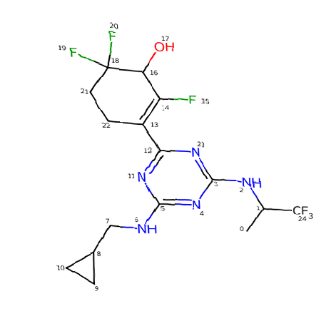 CC(Nc1nc(NCC2CC2)nc(C2=C(F)C(O)C(F)(F)CC2)n1)C(F)(F)F